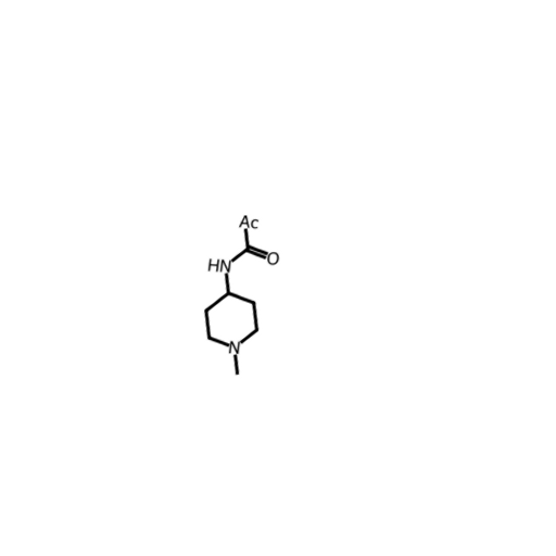 CC(=O)C(=O)NC1CCN(C)CC1